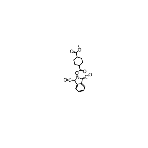 COC(=O)C1CCC(C(=O)On2c(=C=O)c3ccccc3c2=C=O)CC1